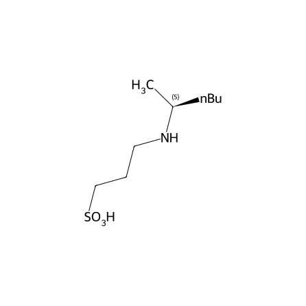 CCCC[C@H](C)NCCCS(=O)(=O)O